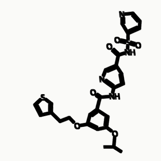 CC(C)Oc1cc(OCCc2ccsc2)cc(C(=O)Nc2ccc(C(=O)NS(=O)(=O)c3cccnc3)cn2)c1